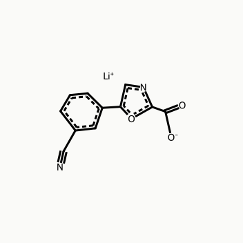 N#Cc1cccc(-c2cnc(C(=O)[O-])o2)c1.[Li+]